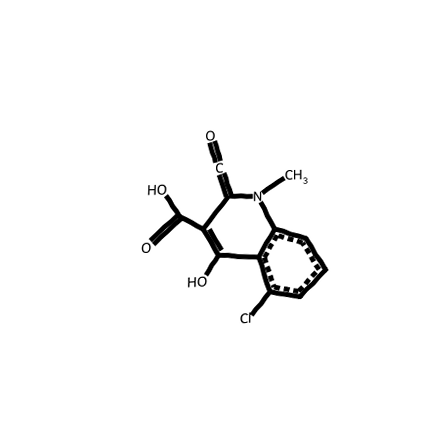 CN1C(=C=O)C(C(=O)O)=C(O)c2c(Cl)cccc21